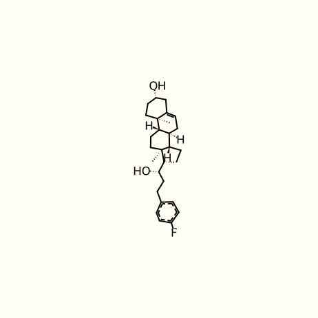 C[C@]12CC[C@H]3[C@@H](CC=C4C[C@@H](O)CC[C@@]43C)[C@@H]1CC[C@@H]2[C@@H](O)CCc1ccc(F)cc1